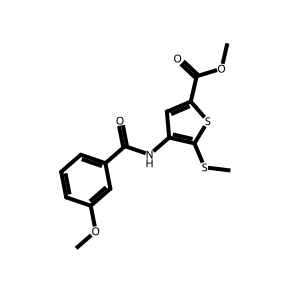 COC(=O)c1cc(NC(=O)c2cccc(OC)c2)c(SC)s1